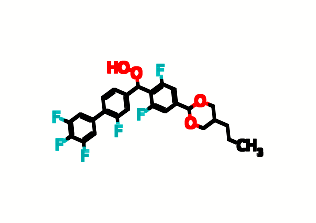 CCCC1COC(c2cc(F)c(C(OO)c3ccc(-c4cc(F)c(F)c(F)c4)c(F)c3)c(F)c2)OC1